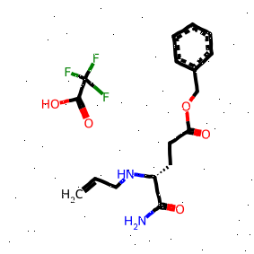 C=CCN[C@H](CCC(=O)OCc1ccccc1)C(N)=O.O=C(O)C(F)(F)F